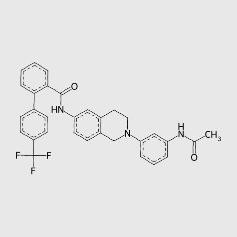 CC(=O)Nc1cccc(N2CCc3cc(NC(=O)c4ccccc4-c4ccc(C(F)(F)F)cc4)ccc3C2)c1